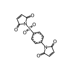 O=C1C=CC(=O)N1c1ccc(S(=O)(=O)N2C(=O)C=CC2=O)cc1